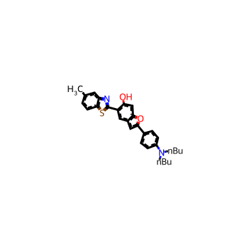 CCCCN(CCCC)c1ccc(-c2cc3cc(-c4nc5cc(C)ccc5s4)c(O)cc3o2)cc1